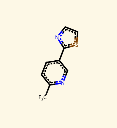 FC(F)(F)c1ccc(-c2nccs2)cn1